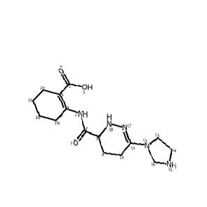 O=C(O)C1=C(NC(=O)C2CCC(N3CCNC3)=NN2)CCCC1